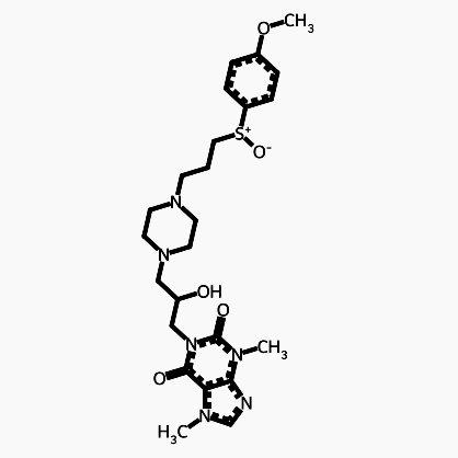 COc1ccc([S+]([O-])CCCN2CCN(CC(O)Cn3c(=O)c4c(ncn4C)n(C)c3=O)CC2)cc1